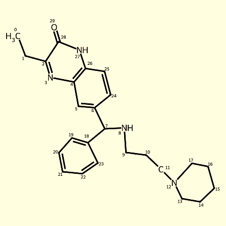 CCc1nc2cc(C(NCCCN3CCCCC3)c3ccccc3)ccc2[nH]c1=O